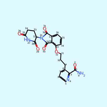 NC(=O)c1ncccc1CCCOc1cccc2c1C(=O)N(C1CCC(=O)NC1=O)C2=O